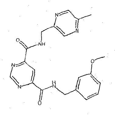 COc1cccc(CNC(=O)c2cc(C(=O)NCc3cnc(C)cn3)ncn2)c1